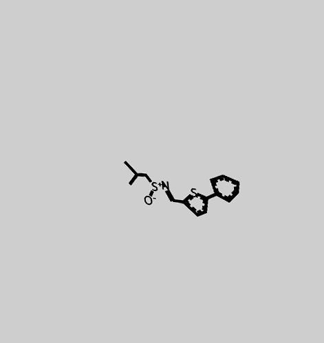 CC(C)C[S+]([O-])N=Cc1ccc(-c2ccccc2)s1